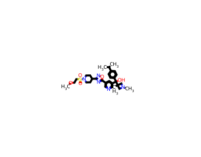 COCCS(=O)(=O)N1CCC(c2noc(-c3cncc(C(O)(c4ccc(C(C)C)cc4)C4(C)CN(C)C4)c3)n2)CC1